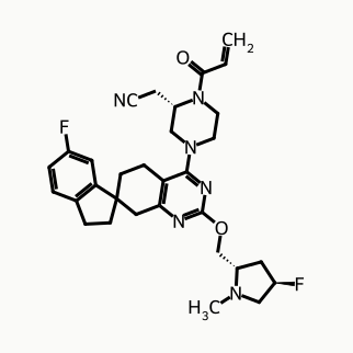 C=CC(=O)N1CCN(c2nc(OC[C@@H]3C[C@@H](F)CN3C)nc3c2CCC2(CCc4ccc(F)cc42)C3)C[C@@H]1CC#N